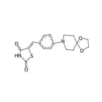 O=C1NC(=O)/C(=C/c2ccc(N3CCC4(CC3)OCCO4)cc2)S1